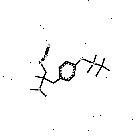 CN(C)C(C)(CN=[N+]=[N-])Cc1ccc(O[Si](C)(C)C(C)(C)C)cc1